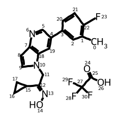 Cc1cc(-c2cnc3ccn(C/C(=N/O)C4CC4)c3c2)ccc1F.O=C(O)C(F)(F)F